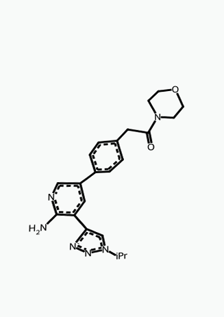 CC(C)n1cc(-c2cc(-c3ccc(CC(=O)N4CCOCC4)cc3)cnc2N)nn1